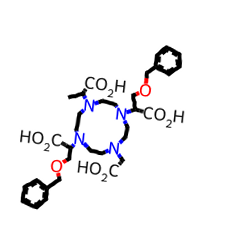 CC(C(=O)O)N1CCN(C(COCc2ccccc2)C(=O)O)CCN(CC(=O)O)CCN(C(COCc2ccccc2)C(=O)O)CC1